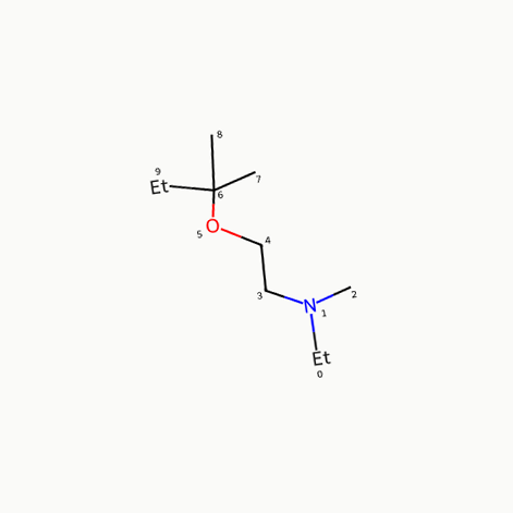 CCN(C)CCOC(C)(C)CC